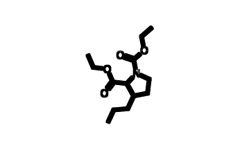 CCCC1CCN(C(=O)OCC)C1C(=O)OCC